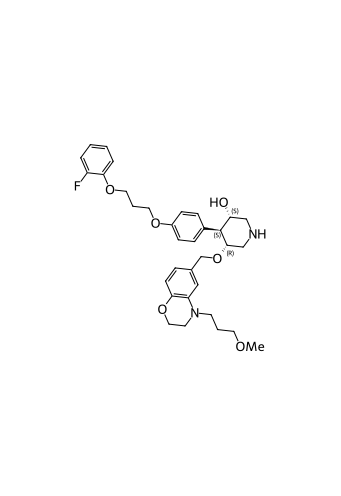 COCCCN1CCOc2ccc(CO[C@H]3CNC[C@@H](O)[C@@H]3c3ccc(OCCCOc4ccccc4F)cc3)cc21